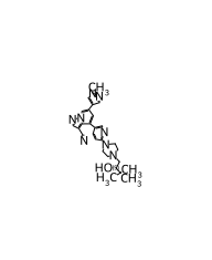 Cn1cc(-c2cc(-c3ccc(N4CCN(C[C@@H](O)C(C)(C)C)CC4)nc3)c3c(C#N)cnn3c2)cn1